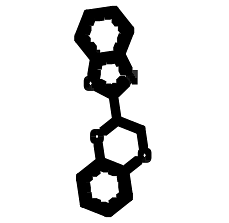 c1ccc2c(c1)OCC(c1nc3ccccc3o1)O2